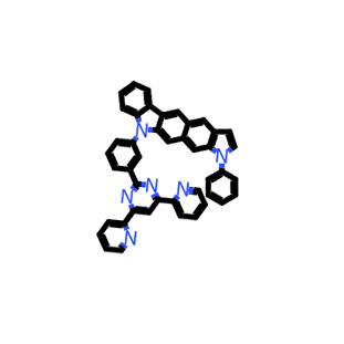 c1ccc(-n2ccc3cc4cc5c6ccccc6n(-c6cccc(-c7nc(-c8ccccn8)cc(-c8ccccn8)n7)c6)c5cc4cc32)cc1